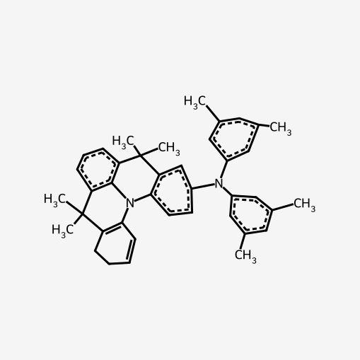 Cc1cc(C)cc(N(c2cc(C)cc(C)c2)c2ccc3c(c2)C(C)(C)c2cccc4c2N3C2=C(CCC=C2)C4(C)C)c1